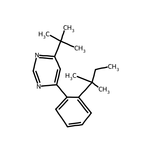 CCC(C)(C)c1ccccc1-c1cc(C(C)(C)C)ncn1